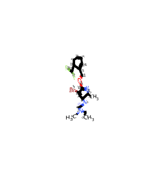 CCN(C)/C=N/c1cc(Br)c(OCc2ccccc2C(F)F)nc1C